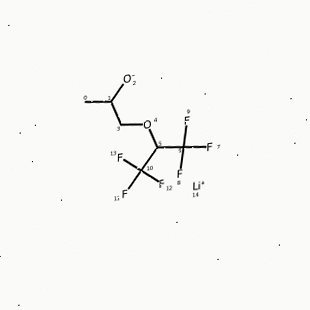 CC([O-])COC(C(F)(F)F)C(F)(F)F.[Li+]